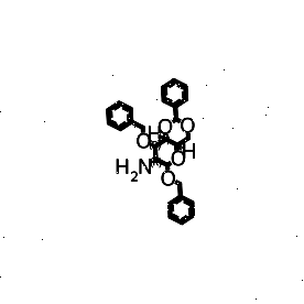 N[C@H]1C(OCc2ccccc2)O[C@@H]2COC(c3ccccc3)O[C@H]2[C@@H]1OCc1ccccc1